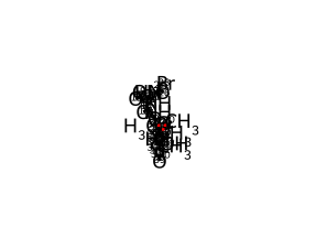 CCC(=O)O[C@]1(C(=O)COCNC(=O)[C@H](CCC(=O)O)NC(=O)CNC(=O)CBr)[C@@H](C)CC2[C@@H]3CCC4=CC(=O)C=C[C@]4(C)[C@@]3(Cl)[C@@H](O)C[C@@]21C